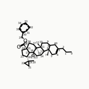 CCCC1=CC[C@@]2(C)C(CC[C@]3(C)C2CC[C@@H]2C4[C@H](C5(C)CC5)CC[C@]4(C(=O)OCc4ccccc4)CC[C@]23C)C1